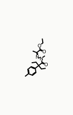 CCOC(=O)C(C)=NN(C)C(=O)C(CC)(CC)c1ccc(C)cc1